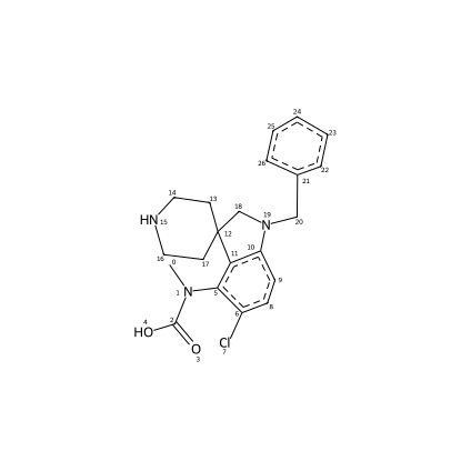 CN(C(=O)O)c1c(Cl)ccc2c1C1(CCNCC1)CN2Cc1ccccc1